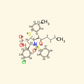 CCCCCC[C@@H]1[C@@H](Sc2ccc(C)cc2)[C@@H](C(=O)O)[C@H](c2ccc(Cl)cc2)N1S(=O)(=O)c1ccccc1